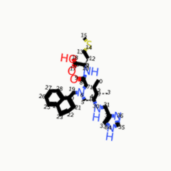 CC[C@H](C)[C@@H](CN(CC(=O)N[C@@H](CCSC)C(=O)O)Cc1cccc2ccccc12)NCc1c[nH]cn1